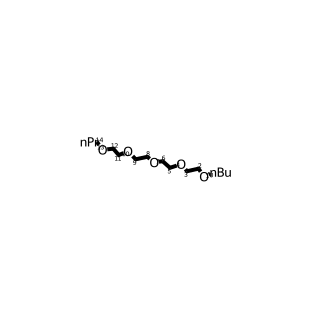 CCCCOCCOCCOCCOCCOCCC